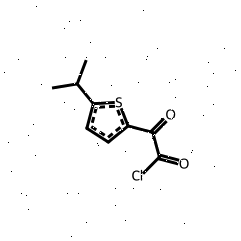 CC(C)c1ccc(C(=O)C(=O)Cl)s1